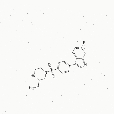 O=S(=O)(c1ccc(C2=CN=C3CC(F)=CC=C23)cc1)N1CCN[C@H](CO)C1